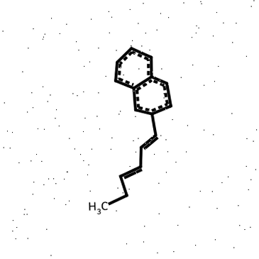 CCC=CC=Cc1ccc2c[c]ccc2c1